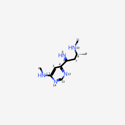 CNc1cc(C(=N)C[C@@H](C)NC)ncn1